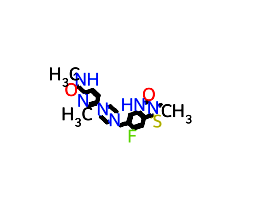 CCn1c(=O)[nH]c2cc(CN3CCN(c4ccc(C(=O)NC)nc4C)CC3)c(F)cc2c1=S